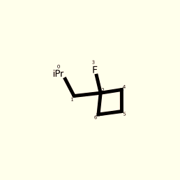 CC(C)CC1(F)CCC1